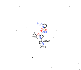 COc1ccc(-c2ccc(C(=O)NS(=O)(=O)c3cccc(N)n3)c(Oc3c(C)cc(C)cc3C)n2)c(OC)n1